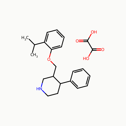 CC(C)c1ccccc1OCC1CNCCC1c1ccccc1.O=C(O)C(=O)O